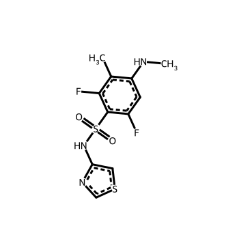 CNc1cc(F)c(S(=O)(=O)Nc2cscn2)c(F)c1C